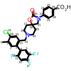 Cc1cc(-c2cc(F)c(F)cc2F)c(CN2CCC3(CC2)CN(c2ccc(C(=O)O)cc2)C(=O)O3)cc1Cl